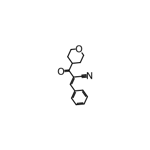 N#C/C(=C\c1ccccc1)C(=O)C1CCOCC1